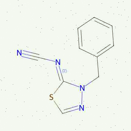 N#C/N=c1\scnn1Cc1ccccc1